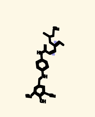 C=C(/C=C\C(=C/C)CC(C)CC(C)(C)C)Nc1ccc(NCc2cc(C(C)(C)C)c(O)c(C(C)(C)C)c2)cc1